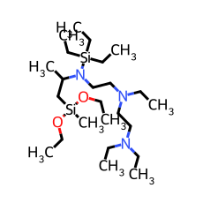 CCO[Si](C)(CC(C)N(CCN(CC)CCN(CC)CC)[Si](CC)(CC)CC)OCC